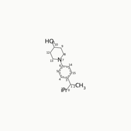 CC(C)C(C)c1ccc(N2CCC(O)CC2)cc1